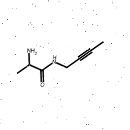 CC#CCNC(=O)C(C)N